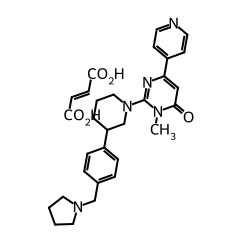 Cn1c(N2CCCC(c3ccc(CN4CCCC4)cc3)C2)nc(-c2ccncc2)cc1=O.O=C(O)/C=C/C(=O)O